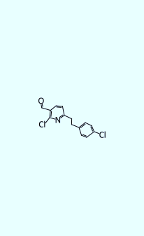 O=Cc1ccc(CCc2ccc(Cl)cc2)nc1Cl